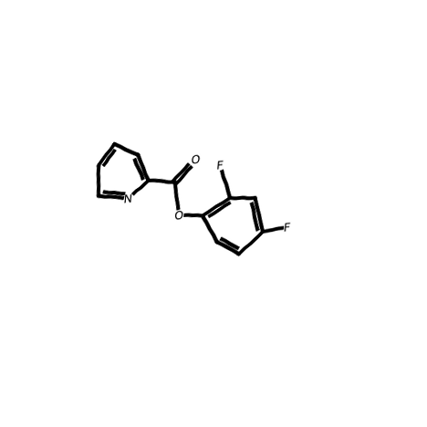 O=C(Oc1ccc(F)cc1F)c1ccccn1